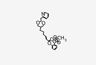 CS(=O)(=O)Oc1ccccc1OC(=O)C=CCCCC1COC(Cc2ccccn2)OC1